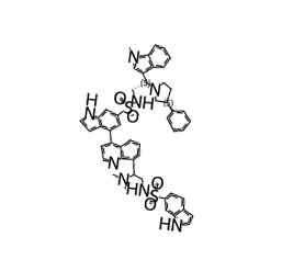 CN(C)C(CNS(=O)(=O)c1ccc2cc[nH]c2c1)c1cccc2c(-c3cc(S(=O)(=O)NC[C@H](c4cn(C)c5ccccc45)N4CC[C@@H](c5ccccc5)C4)cc4[nH]ccc34)ccnc12